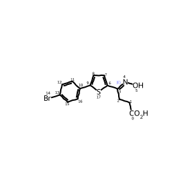 O=C(O)CC/C(=N\O)c1ccc(-c2ccc(Br)cc2)s1